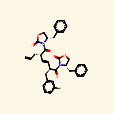 C=CC[C@@H](/C=C/[C@H](Cc1cccc(F)c1)C(=O)N1C(=O)OC[C@@H]1Cc1ccccc1)C(=O)N1C(=O)OC[C@@H]1Cc1ccccc1